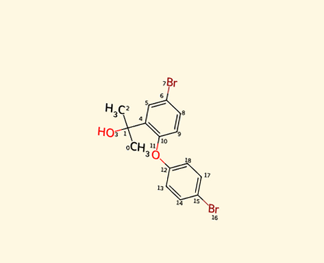 CC(C)(O)c1cc(Br)ccc1Oc1ccc(Br)cc1